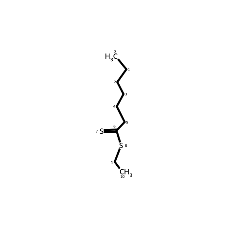 CCCCCCC(=S)SCC